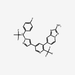 CC(F)(F)[C@@H](c1ccc(F)cc1)n1cc(-c2cnc(C(F)(F)F)c(-c3ccn4nc(N)nc4c3)c2)cn1